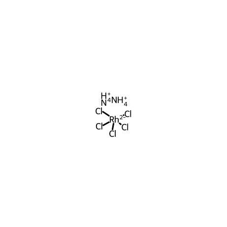 [Cl][Rh-2]([Cl])([Cl])([Cl])[Cl].[NH4+].[NH4+]